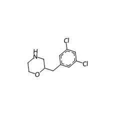 Clc1cc(Cl)cc(CC2CNCCO2)c1